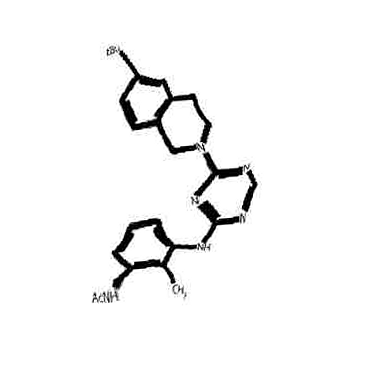 CC(=O)Nc1cccc(Nc2ncnc(N3CCc4cc(C(C)(C)C)ccc4C3)n2)c1C